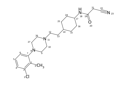 Cc1c(Cl)cccc1N1CCN(CCC2CCC(NC(=O)CC#N)CC2)CC1